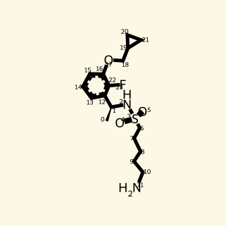 C[C@H](NS(=O)(=O)CCCCCN)c1cccc(OCC2CC2)c1F